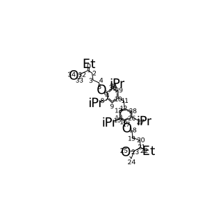 CCC(CCCOc1c(C(C)C)cc(Cc2cc(C(C)C)c(OCCCC(CC)C3CO3)c(C(C)C)c2)cc1C(C)C)C1CO1